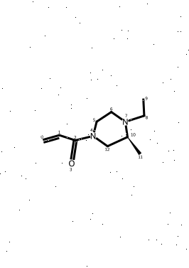 C=CC(=O)N1CCN(CC)[C@@H](C)C1